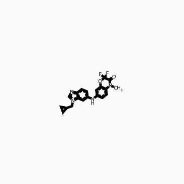 CN1C(=O)C(F)(F)Oc2cc(Nc3ccc4ncn(CC5CC5)c4c3)ccc21